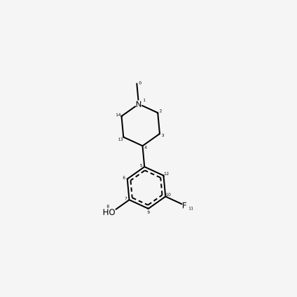 CN1CCC(c2cc(O)cc(F)c2)CC1